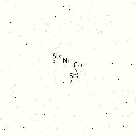 [Co].[Ni].[Sb].[Sn]